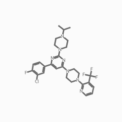 CC(C)N1CCN(c2nc(-c3ccc(F)c(Cl)c3)cc(N3CCN(c4ncccc4C(F)(F)F)CC3)n2)CC1